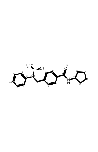 C[S+]([O-])N(Cc1ccc(C(=O)NC2CCCC2)cc1)c1ccccc1